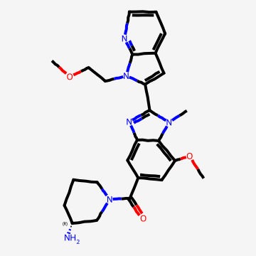 COCCn1c(-c2nc3cc(C(=O)N4CCC[C@@H](N)C4)cc(OC)c3n2C)cc2cccnc21